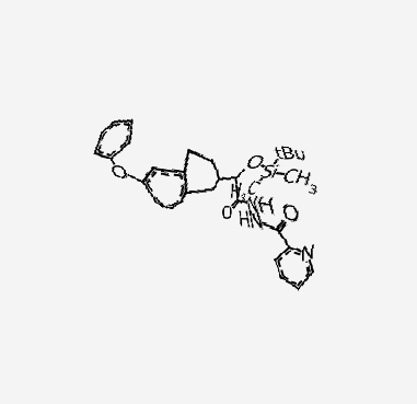 CC(C)(C)[Si](C)(C)OC(C(=O)NNC(=O)c1ccccn1)C1CCc2cc(Oc3ccccc3)ccc2C1